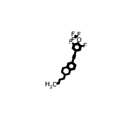 C=CCCC1CCc2cc(C#Cc3cc(F)c(OC(F)(F)F)c(F)c3)ccc2C1